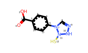 O=C(O)c1ccc(N2C=NNN2S)cc1